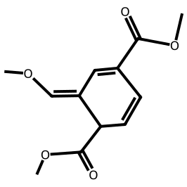 COC=C1C=C(C(=O)OC)C=CC1C(=O)OC